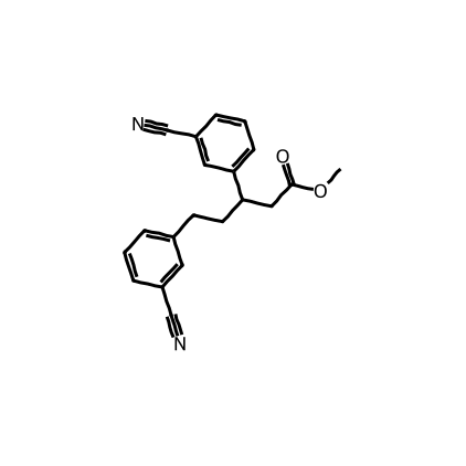 COC(=O)CC(CCc1cccc(C#N)c1)c1cccc(C#N)c1